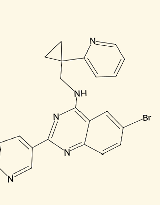 Brc1ccc2nc(-c3cccnc3)nc(NCC3(c4ccccn4)CC3)c2c1